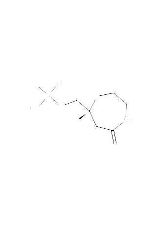 CC(C)(C)[Si](C)(C)OC[C@@]1(C)CC(=S)NCCS1